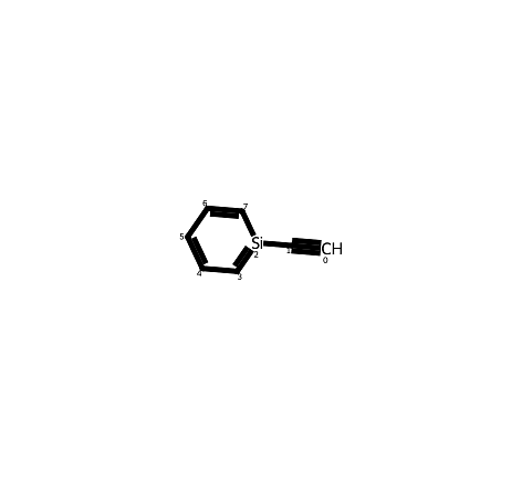 C#C[si]1ccccc1